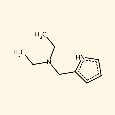 CCN(CC)Cc1ccc[nH]1